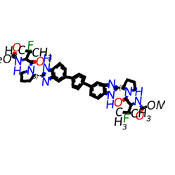 COC(=O)NC(C(=O)N1CCC[C@H]1c1nc2cc(-c3ccc(-c4ccc5[nH]c([C@@H]6CCCN6C(=O)C(NC(=O)OC)C(C)(C)F)nc5c4)cc3)ccc2[nH]1)C(C)(C)F